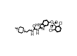 CN1CCN(CCNC(=O)Nc2nc3cc(OS(=O)(=O)c4c(Cl)cccc4Cl)ccc3[nH]2)CC1